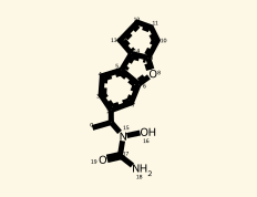 CC(c1ccc2c(c1)oc1ccccc12)N(O)C(N)=O